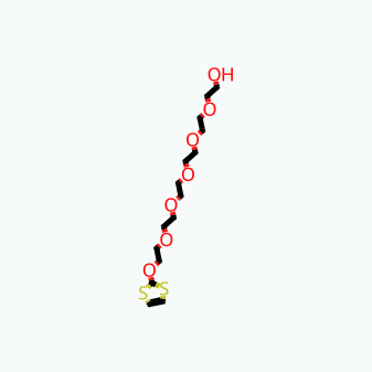 OCCOCCOCCOCCOCCOCCOC1SC=CS1